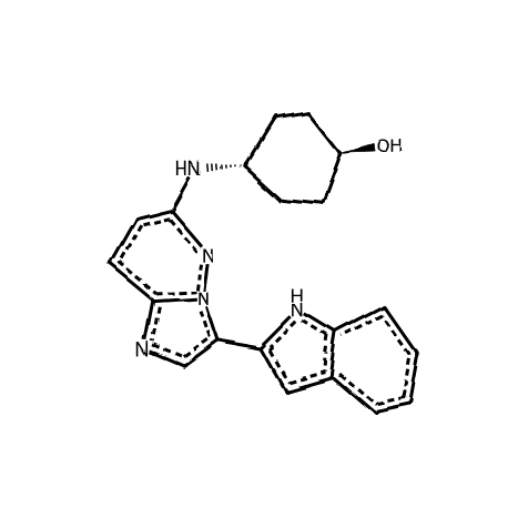 O[C@H]1CC[C@H](Nc2ccc3ncc(-c4cc5ccccc5[nH]4)n3n2)CC1